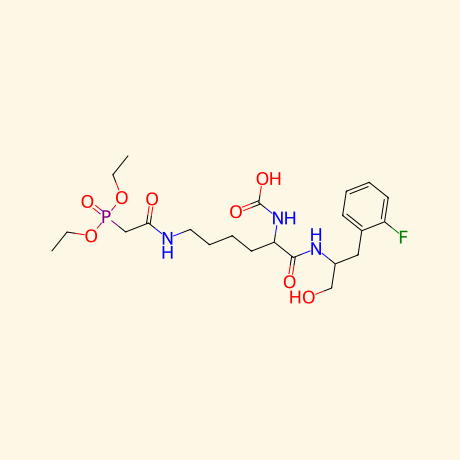 CCOP(=O)(CC(=O)NCCCCC(NC(=O)O)C(=O)NC(CO)Cc1ccccc1F)OCC